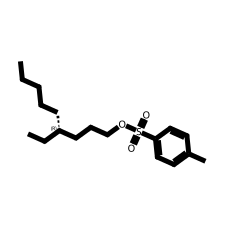 CCCCC[C@@H](CC)CCCOS(=O)(=O)c1ccc(C)cc1